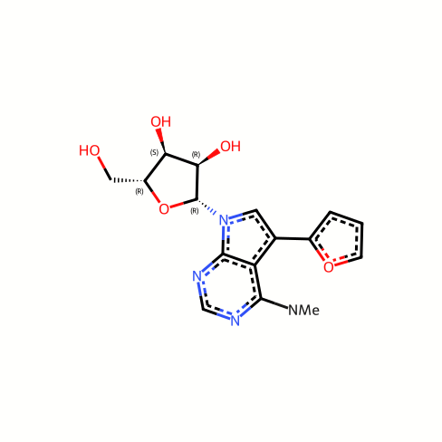 CNc1ncnc2c1c(-c1ccco1)cn2[C@@H]1O[C@H](CO)[C@@H](O)[C@H]1O